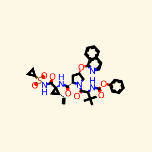 C=C[C@@H]1C[C@]1(NC(=O)[C@@H]1C[C@@H](Oc2nccc3ccccc23)CN1C(=O)C(NC(=O)Oc1ccccc1)C(C)(C)C)C(=O)NS(=O)(=O)C1CC1